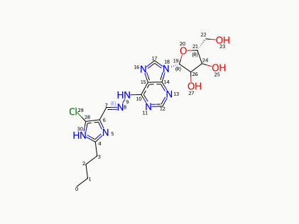 CCCCc1nc(/C=N/Nc2ncnc3c2ncn3[C@@H]2O[C@H](CO)C(O)C2O)c(Cl)[nH]1